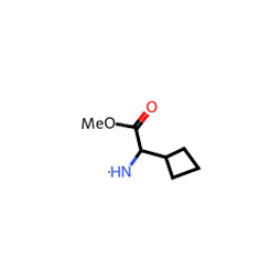 COC(=O)C([NH])C1CCC1